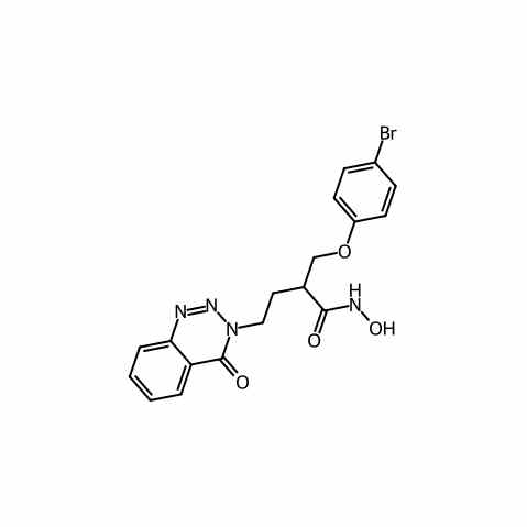 O=C(NO)C(CCn1nnc2ccccc2c1=O)COc1ccc(Br)cc1